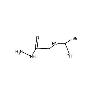 [2H]C(CCCC)NCC(=O)NN